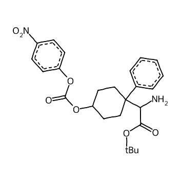 CC(C)(C)OC(=O)C(N)C1(c2ccccc2)CCC(OC(=O)Oc2ccc([N+](=O)[O-])cc2)CC1